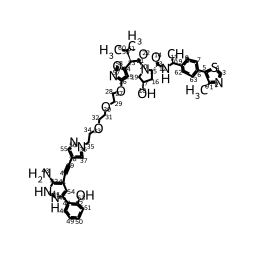 Cc1ncsc1-c1ccc([C@H](C)NC(=O)[C@@H]2C[C@@H](O)CN2C(=O)[C@@H](c2cc(OCCOCCOCCn3cc(C#CC4=C(N)NNC(c5ccccc5O)=C4)cn3)no2)C(C)C)cc1